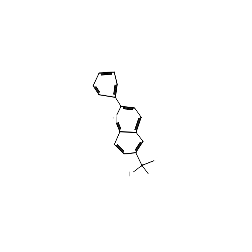 FC(F)(F)c1ccc2nc(-c3ccccc3)ccc2c1